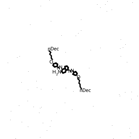 CCCCCCCCCCCCCCCCOc1ccc(N=Nc2cccc3c(N=Nc4ccc(OCCCCCCCCCCCCCCCC)cc4)c(N)ccc23)cc1